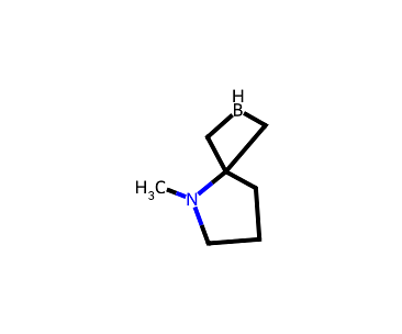 CN1CCCC12CBC2